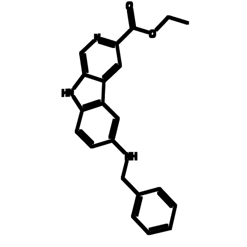 CCOC(=O)c1cc2c(cn1)[nH]c1ccc(NCc3ccccc3)cc12